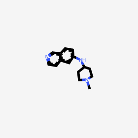 CN1CCC(Nc2ccc3cnccc3c2)CC1